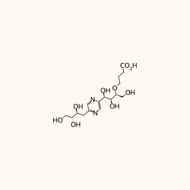 O=C(O)CCCO[C@@H](CO)[C@@H](O)[C@H](O)c1cnc(C[C@H](O)[C@H](O)CO)cn1